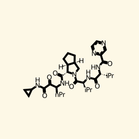 CCCC(NC(=O)[C@@H]1[C@H]2CCC[C@H]2CN1C(=O)[C@@H](NC(=O)[C@H](NC(=O)c1cnccn1)C(C)C)C(C)C)C(=O)C(=O)NC1CC1